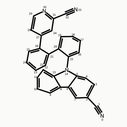 N#Cc1ccc2c(c1)c1ccccc1n2-c1ccccc1-c1ccccc1-c1ccnc(C#N)c1